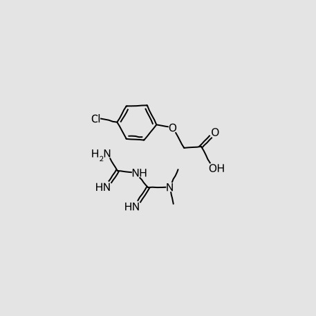 CN(C)C(=N)NC(=N)N.O=C(O)COc1ccc(Cl)cc1